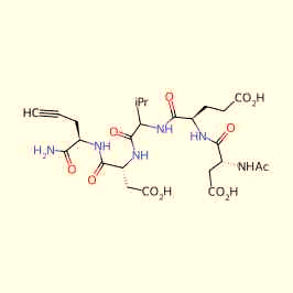 C#CC[C@@H](NC(=O)[C@@H](CC(=O)O)NC(=O)C(NC(=O)[C@@H](CCC(=O)O)NC(=O)[C@@H](CC(=O)O)NC(C)=O)C(C)C)C(N)=O